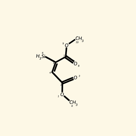 COC(=O)/C=C(/[SiH3])C(=O)OC